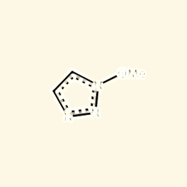 [CH2]On1ccnn1